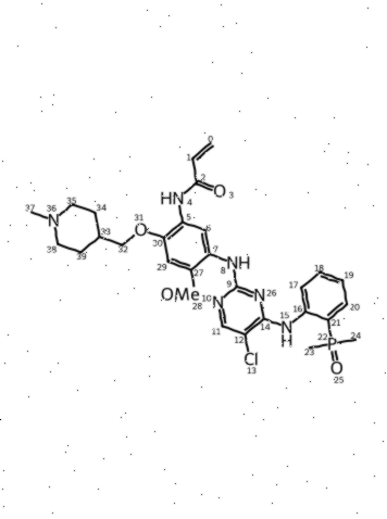 C=CC(=O)Nc1cc(Nc2ncc(Cl)c(Nc3ccccc3P(C)(C)=O)n2)c(OC)cc1OCC1CCN(C)CC1